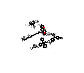 CN(C)CCOc1ccc(/C(=C(/CCCl)c2ccccc2)c2ccccc2)cc1.C[C@]12CC[C@@H]3c4ccc(O)cc4C[C@@H](CCCCCCCCC[S+]([O-])CCCC(F)(F)C(F)(F)F)[C@H]3[C@@H]1CC[C@@H]2O.N#Cc1ccc(C(c2ccc(C#N)cc2)n2cncn2)cc1.O=C(O)CC(O)(CC(=O)O)C(=O)O